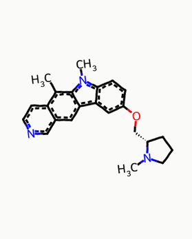 Cc1c2ccncc2cc2c3cc(OC[C@@H]4CCCN4C)ccc3n(C)c12